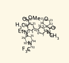 CCN(c1cc(-c2ccc3c(c2)C2(CCOCC2)C(=O)N3C)cc(C(=O)OC)c1C)C1CCN(CC(F)(F)F)CC1